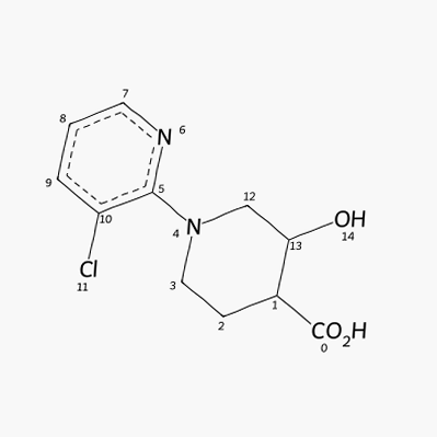 O=C(O)C1CCN(c2ncccc2Cl)CC1O